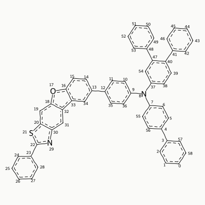 c1ccc(-c2ccc(N(c3ccc(-c4ccc5oc6cc7sc(-c8ccccc8)nc7cc6c5c4)cc3)c3ccc(-c4ccccc4)c(-c4ccccc4)c3)cc2)cc1